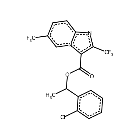 CC(OC(=O)c1c(C(F)(F)F)nc2ccc(C(F)(F)F)cn12)c1ccccc1Cl